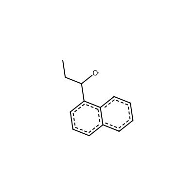 CCC([O])c1cccc2ccccc12